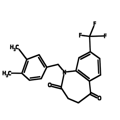 Cc1ccc(CN2C(=O)CCC(=O)c3ccc(C(F)(F)F)cc32)cc1C